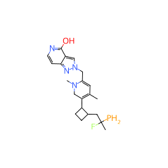 CC1=C(C2CCC2CC(C)(F)P)CN(C)C(Cn2cc3c(O)nccc3n2)=C1